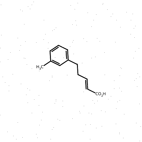 Cc1cccc(CCC=CC(=O)O)c1